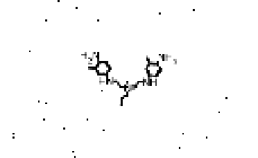 C=CC[N+](C)(CCNc1ccc(N)c(C)c1)CCNc1ccc(N)c(C)c1